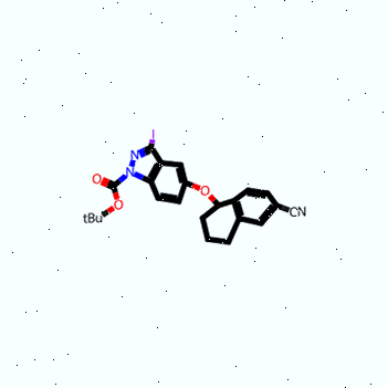 CC(C)(C)OC(=O)n1nc(I)c2cc(OC3CCCc4cc(C#N)ccc43)ccc21